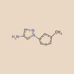 Cc1cccc(-n2cc(N)cn2)c1